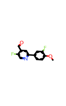 COc1ccc(-c2cc(C=O)c(F)cn2)cc1F